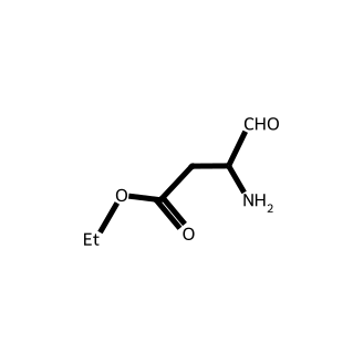 CCOC(=O)CC(N)C=O